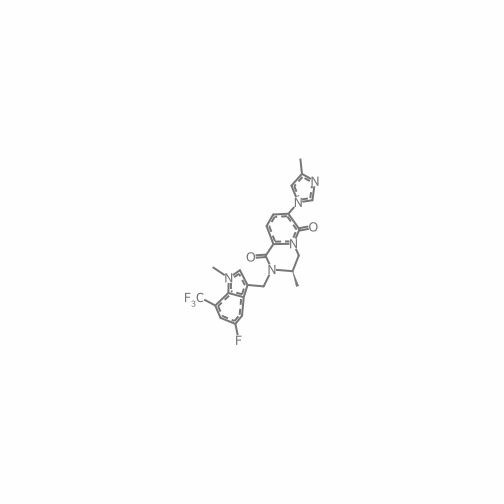 Cc1cn(-c2ccc3n(c2=O)C[C@@H](C)N(Cc2cn(C)c4c(C(F)(F)F)cc(F)cc24)C3=O)cn1